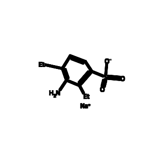 CCc1ccc(S(=O)(=O)[O-])c(CC)c1N.[Na+]